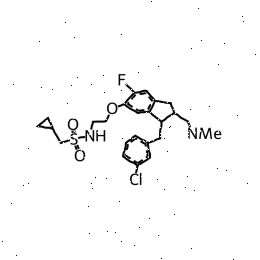 CNCC1Cc2cc(F)c(OCCNS(=O)(=O)CC3CC3)cc2C1Cc1cccc(Cl)c1